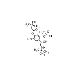 CC(C)(C)CC(=O)Oc1ccc(C(O)CNC(C)(C)C)cc1O.CS(=O)(=O)O